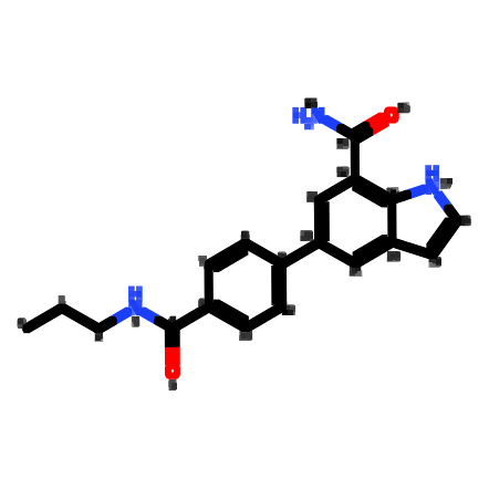 CCCNC(=O)c1ccc(-c2cc(C(N)=O)c3[nH]ccc3c2)cc1